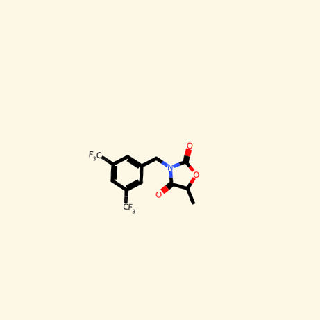 CC1OC(=O)N(Cc2cc(C(F)(F)F)cc(C(F)(F)F)c2)C1=O